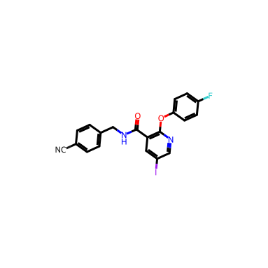 N#Cc1ccc(CNC(=O)c2cc(I)cnc2Oc2ccc(F)cc2)cc1